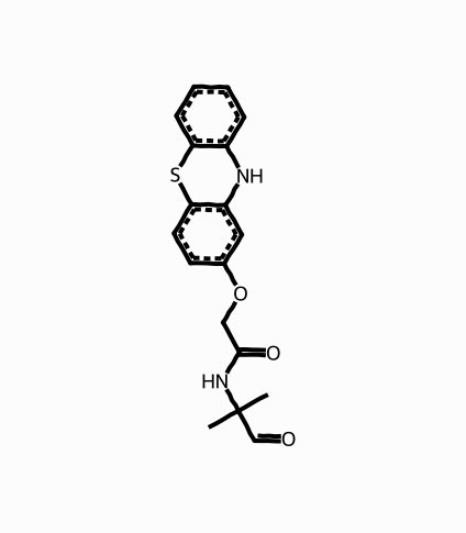 CC(C)(C=O)NC(=O)COc1ccc2c(c1)Nc1ccccc1S2